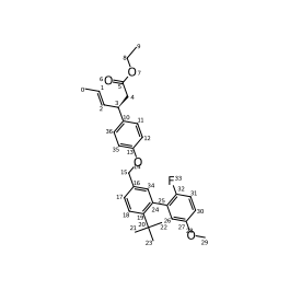 C/C=C/[C@@H](CC(=O)OCC)c1ccc(OCc2ccc(C(C)(C)C)c(-c3cc(OC)ccc3F)c2)cc1